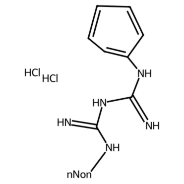 CCCCCCCCCNC(=N)NC(=N)Nc1ccccc1.Cl.Cl